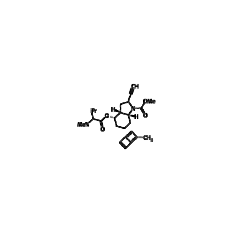 C#CC1C[C@H]2[C@@H](OC(=O)C(NC)C(C)C)CCC[C@H]2N1C(=O)OC.Cc1cc2ccc1-2